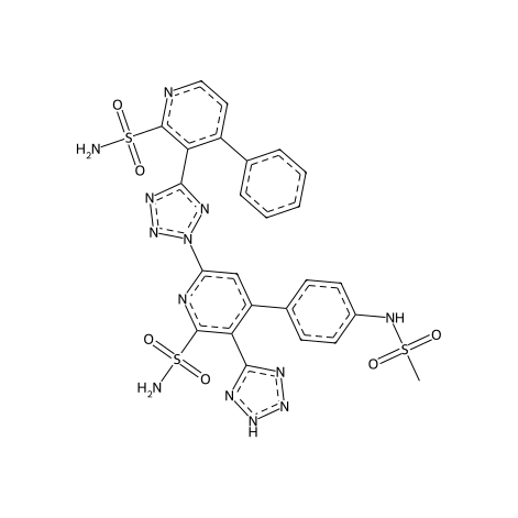 CS(=O)(=O)Nc1ccc(-c2cc(-n3nnc(-c4c(-c5ccccc5)ccnc4S(N)(=O)=O)n3)nc(S(N)(=O)=O)c2-c2nn[nH]n2)cc1